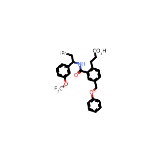 CC(C)CC(NC(=O)c1cc(COc2ccccc2)ccc1CCC(=O)O)c1cccc(OC(F)(F)F)c1